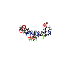 COc1ccc2ncc(F)c(CCN3CC[C@H](NCc4ccc5c(c4)OCCO5)[C@@H](O)C3)c2c1.Cl